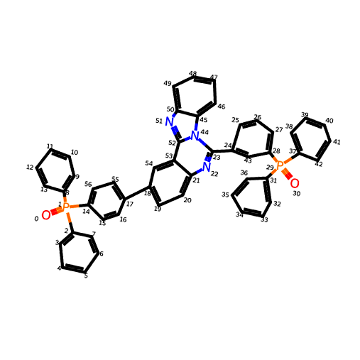 O=P(c1ccccc1)(c1ccccc1)c1ccc(-c2ccc3nc(-c4cccc(P(=O)(c5ccccc5)c5ccccc5)c4)n4c5ccccc5nc4c3c2)cc1